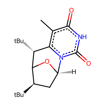 Cc1c2n(c(=O)[nH]c1=O)[C@H]1C[C@@H](C(C)(C)C)C(O1)[C@@H]2C(C)(C)C